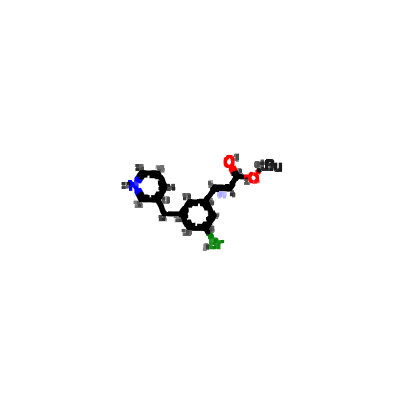 CC(C)(C)OC(=O)/C=C/c1cc(Br)cc(Cc2cccnc2)c1